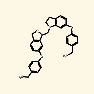 NCc1ccc(Oc2ccc3c(c2)B(OB2OCc4ccc(Oc5ccc(CN)cc5)cc42)CC3)cc1